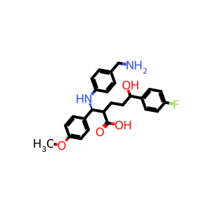 COc1ccc([C@@H](Nc2ccc(CN)cc2)C(CCC(O)c2ccc(F)cc2)C(=O)O)cc1